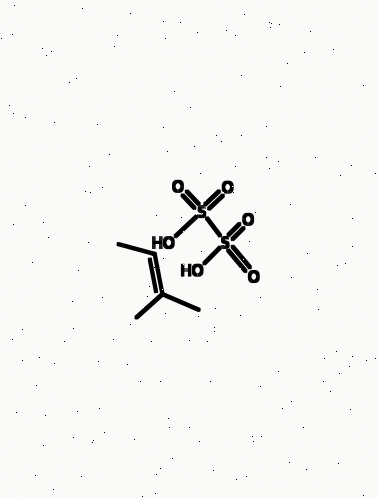 CC=C(C)C.O=S(=O)(O)S(=O)(=O)O